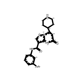 CCCc1cccc(NC(=O)c2cnn3c(C4CCNCC4)cc(=O)[nH]c23)c1